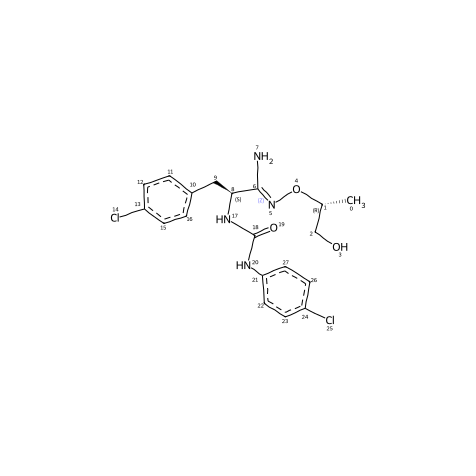 C[C@H](CO)O/N=C(\N)[C@H](Cc1ccc(Cl)cc1)NC(=O)Nc1ccc(Cl)cc1